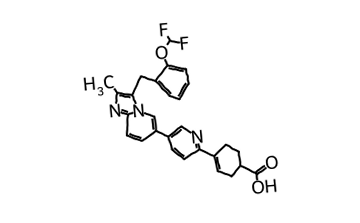 Cc1nc2ccc(-c3ccc(C4=CCC(C(=O)O)CC4)nc3)cn2c1Cc1ccccc1OC(F)F